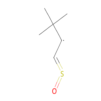 CC(C)(C)[CH]C=S=O